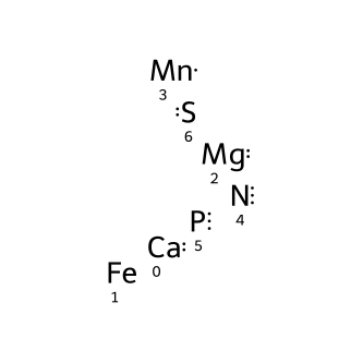 [Ca].[Fe].[Mg].[Mn].[N].[P].[S]